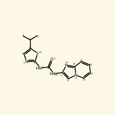 CC(C)c1cnc(NC(=O)Nc2cn3ccccc3n2)s1